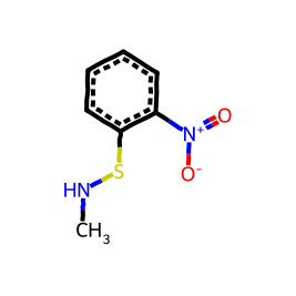 CNSc1ccccc1[N+](=O)[O-]